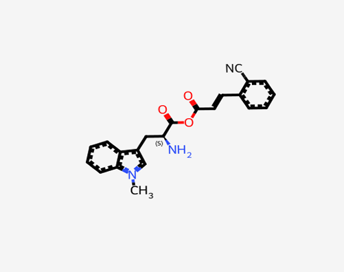 Cn1cc(C[C@H](N)C(=O)OC(=O)C=Cc2ccccc2C#N)c2ccccc21